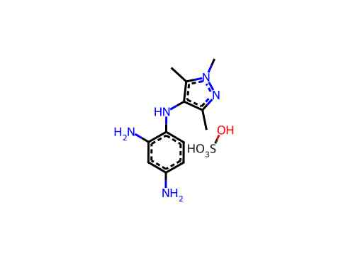 Cc1nn(C)c(C)c1Nc1ccc(N)cc1N.O=S(=O)(O)O